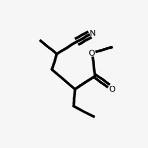 CCC(CC(C)C#N)C(=O)OC